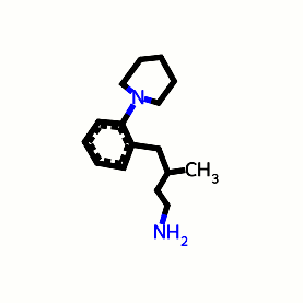 CC(CCN)Cc1ccccc1N1CCCCC1